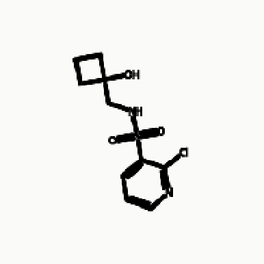 O=S(=O)(NCC1(O)CCC1)c1cccnc1Cl